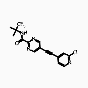 CC(C)(NC(=O)c1ncc(C#Cc2ccnc(Cl)c2)cn1)C(F)(F)F